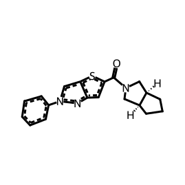 O=C(c1cc2nn(-c3ccccc3)cc2s1)N1C[C@H]2CCC[C@H]2C1